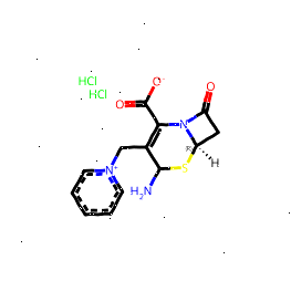 Cl.Cl.NC1S[C@@H]2CC(=O)N2C(C(=O)[O-])=C1C[n+]1ccccc1